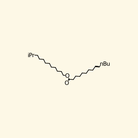 CCCCC=CCCCCCCCC(=O)OCCCCCCCCCCC(C)C